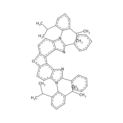 CC(C)c1cccc(C(C)C)c1-n1c(-c2ccccc2)nc2c3c(ccc21)oc1ccc2c(nc(-c4ccccc4)n2-c2c(C(C)C)cccc2C(C)C)c13